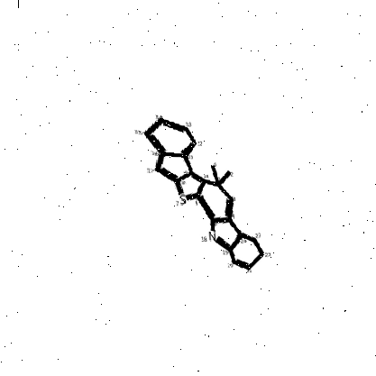 CC1(C)C=C2C(=c3sc4c(c31)-c1ccccc1C=4)N=C1C=CCCC21